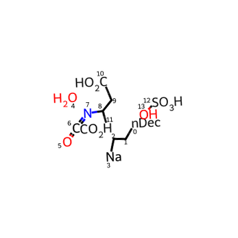 CCCCCCCCCCC[CH2][Na].O.O=C=NC(CC(=O)O)C(=O)O.O=S(=O)(O)O